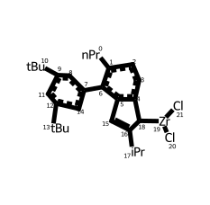 CCCc1ccc2c(c1-c1cc(C(C)(C)C)cc(C(C)(C)C)c1)C=C(C(C)C)[CH]2[Zr]([Cl])[Cl]